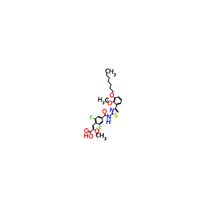 CCCCCCCOc1cccc(-c2csc(NC(=O)c3cc(F)c(C=C(OC)C(=O)O)c(F)c3)n2)c1OC